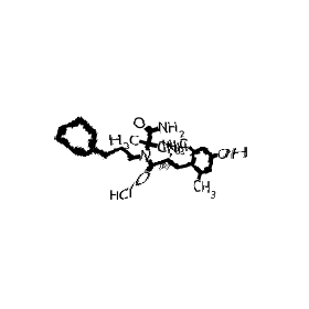 Cc1cc(O)cc(C)c1C[C@@H](N)C(=O)N(CCCc1ccccc1)C(C)(C)C(N)=O.Cl